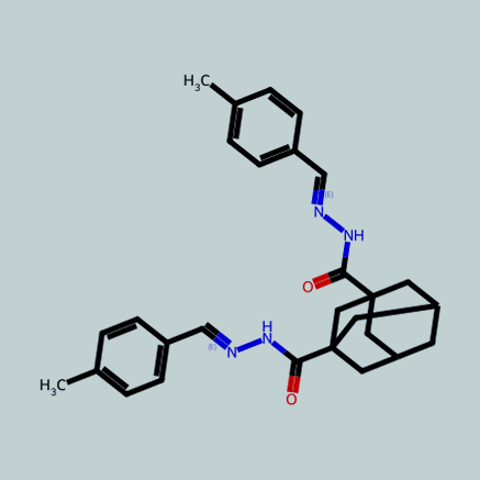 Cc1ccc(/C=N/NC(=O)C23CC4CC(C2)CC(C(=O)N/N=C/c2ccc(C)cc2)(C4)C3)cc1